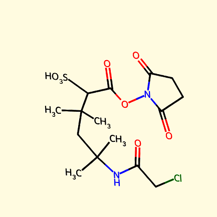 CC(C)(CC(C)(C)C(C(=O)ON1C(=O)CCC1=O)S(=O)(=O)O)NC(=O)CCl